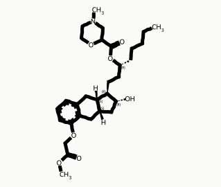 CCCCC[C@H](CC[C@@H]1[C@H]2Cc3cccc(OCC(=O)OC)c3C[C@H]2C[C@H]1O)OC(=O)C1CN(C)CCO1